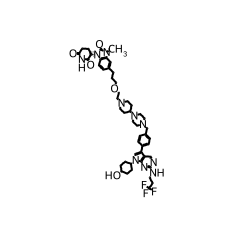 Cn1c(=O)n([C@H]2CCC(=O)NC2=O)c2ccc(CCCOCCN3CCC(N4CCN(Cc5ccc(-c6cn([C@H]7CC[C@H](O)CC7)c7nc(NCCC(F)(F)F)ncc67)cc5)CC4)CC3)cc21